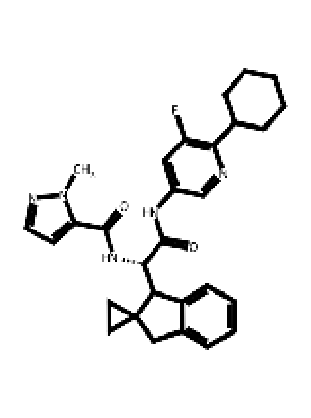 Cn1nccc1C(=O)N[C@H](C(=O)Nc1cnc(C2CCCCC2)c(F)c1)C1c2ccccc2CC12CC2